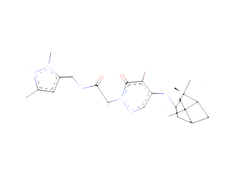 Cc1cc(CNC(=O)Cn2ncc(N[C@@H]3C[C@@H]4C[C@H]([C@H]3C)C4(C)C)c(Br)c2=O)n(C)n1